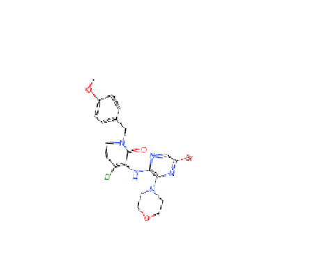 COc1ccc(CN2CCC(Cl)=C(Nc3ncc(Br)nc3N3CCOCC3)C2=O)cc1